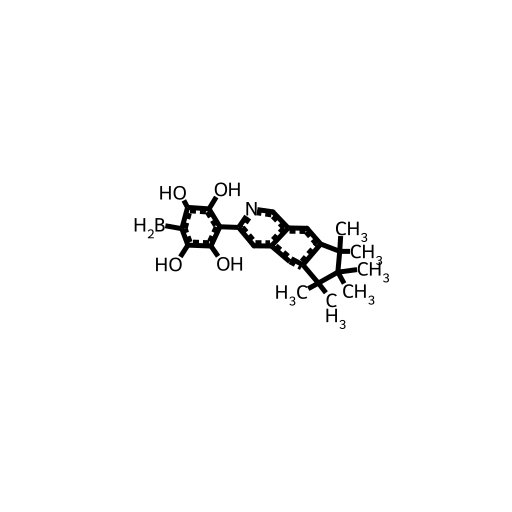 Bc1c(O)c(O)c(-c2cc3cc4c(cc3cn2)C(C)(C)C(C)(C)C4(C)C)c(O)c1O